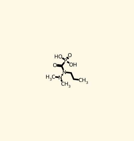 CCCN(C(=O)P(=O)(O)O)N(C)C